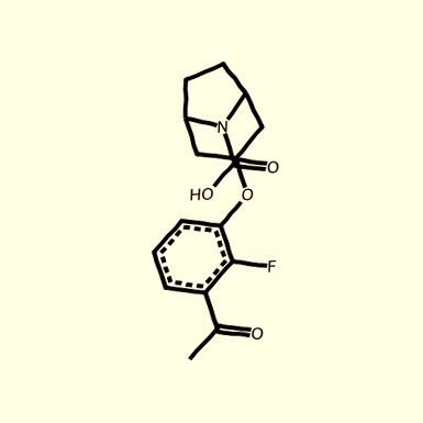 CC(=O)c1cccc(OC2CC3CCC(C2)N3C(=O)O)c1F